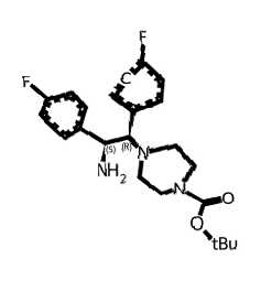 CC(C)(C)OC(=O)N1CCN([C@H](c2ccc(F)cc2)[C@@H](N)c2ccc(F)cc2)CC1